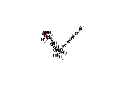 C=CNCCCC[C@H](NC(=O)[C@@H](NC(=O)CCOCCOCCOCCOCCOCCOCCOCCOCCOCCN=[N+]=[N-])C(C)C)C(=O)Nc1ccc(COC(=O)NCCCOc2ccc3nc4c(c(CC)c3c2)Cn2c-4cc3c(c2=O)COC(=O)[C@]3(O)CC)cc1